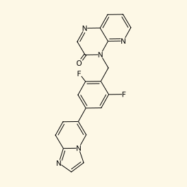 O=c1cnc2cccnc2n1Cc1c(F)cc(-c2ccc3nccn3c2)cc1F